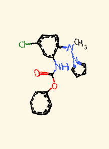 CN(c1ccc(Cl)cc1NC(=O)Oc1ccccc1)n1cccc1